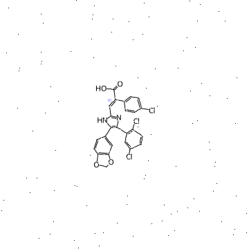 O=C(O)/C(=C/c1nc(-c2cc(Cl)ccc2Cl)c(-c2ccc3c(c2)OCO3)[nH]1)c1ccc(Cl)cc1